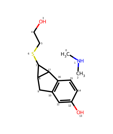 CNC.OCCSC1C2Cc3cc(O)ccc3C21